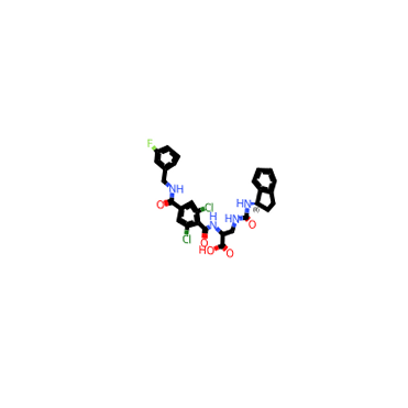 O=C(NCC(NC(=O)c1c(Cl)cc(C(=O)NCc2cccc(F)c2)cc1Cl)C(=O)O)N[C@@H]1CCc2ccccc21